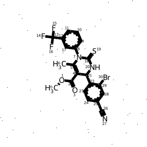 COC(=O)C1=C(C)N(c2cccc(C(F)(F)F)c2)C(=S)NC1c1ccc(C#N)cc1Br